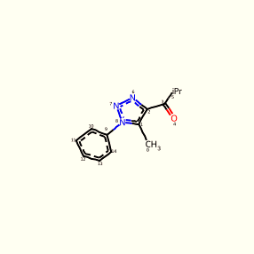 Cc1c(C(=O)C(C)C)nnn1-c1ccccc1